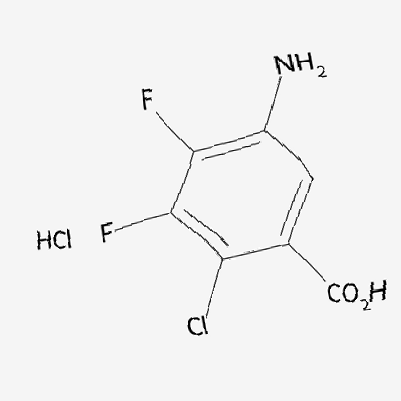 Cl.Nc1cc(C(=O)O)c(Cl)c(F)c1F